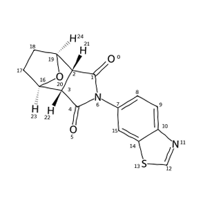 O=C1[C@@H]2[C@H](C(=O)N1c1ccc3ncsc3c1)[C@H]1CC[C@@H]2O1